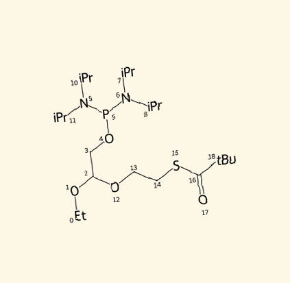 CCOC(COP(N(C(C)C)C(C)C)N(C(C)C)C(C)C)OCCSC(=O)C(C)(C)C